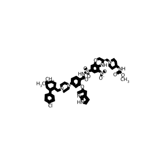 COC(=O)NC1CCN(C[C@@H]2COc3cc(S(=O)(=O)NC(=O)c4ccc(N5CCN(CC6=C(c7ccc(Cl)cc7)CC(C)(C)CC6)CC5)cc4Oc4cnc5[nH]ccc5c4)cc([N+](=O)[O-])c3N2)CC1